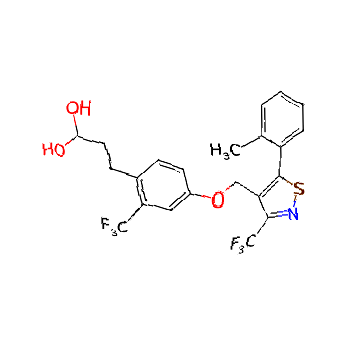 Cc1ccccc1-c1snc(C(F)(F)F)c1COc1ccc(CCC(O)O)c(C(F)(F)F)c1